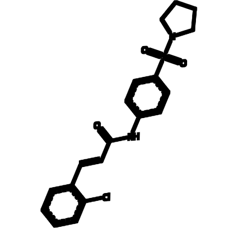 O=C(C=Cc1ccccc1Cl)Nc1ccc(S(=O)(=O)N2CCCC2)cc1